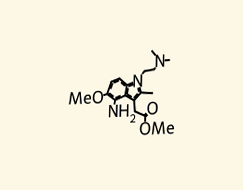 COC(=O)Cc1c(C)n(CCN(C)C)c2ccc(OC)c(N)c12